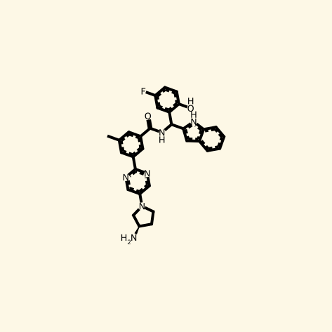 Cc1cc(C(=O)NC(c2cc3ccccc3[nH]2)c2cc(F)ccc2O)cc(-c2ncc(N3CC[C@@H](N)C3)cn2)c1